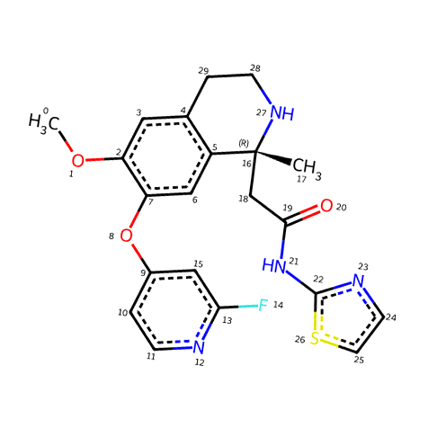 COc1cc2c(cc1Oc1ccnc(F)c1)[C@@](C)(CC(=O)Nc1nccs1)NCC2